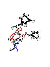 CN(C)C1=N[C@@H]2[C@@H](OCc3ccccc3)[C@@H](OCc3ccccc3)[C@H](CF)O[C@@H]2S1